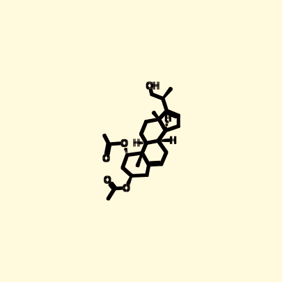 CC(=O)O[C@@H]1CC2=CC[C@@H]3[C@H](CC[C@]4(C)C([C@H](C)CO)=CC[C@@H]34)[C@@]2(C)[C@@H](OC(C)=O)C1